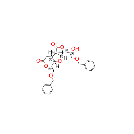 O=C1C[C@H]2[C@H](O[C@@H]3[C@@H]([C@H](O)COCc4ccccc4)OC(=O)[C@H]23)[C@@H](COCc2ccccc2)O1